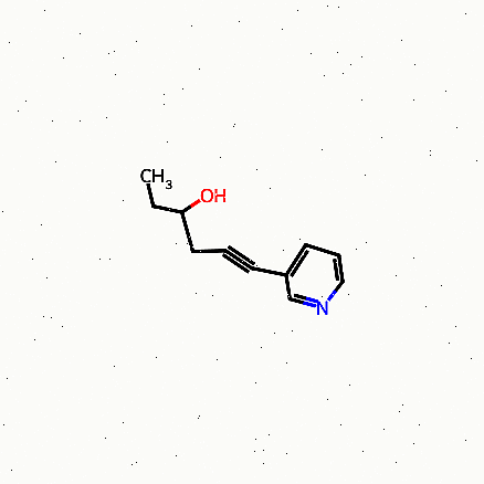 CCC(O)CC#Cc1cccnc1